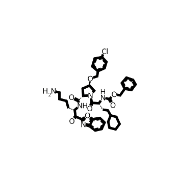 NCCCC[C@H](NC(=O)[C@@H]1C[C@@H](OCc2ccc(Cl)cc2)CN1C(=O)[C@@H](CCC1CCCCC1)NC(=O)OCc1ccccc1)C(=O)c1nc2ccccc2o1